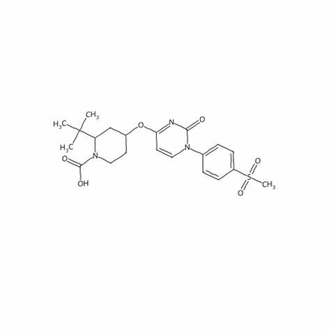 CC(C)(C)C1CC(Oc2ccn(-c3ccc(S(C)(=O)=O)cc3)c(=O)n2)CCN1C(=O)O